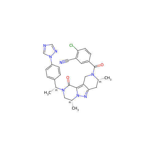 C[C@@H]1Cc2nn3c(c2CN1C(=O)c1ccc(Cl)c(C#N)c1)C(=O)N([C@H](C)c1ccc(-n2cncn2)cc1)C[C@H]3C